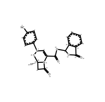 N#Cc1ccc(N2C=C(C(=O)OC3OC(=O)c4ccccc43)N3C(=O)C[C@H]3S2)cc1